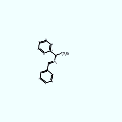 CCOC(=O)C(N=Cc1ccccc1)c1ccccc1